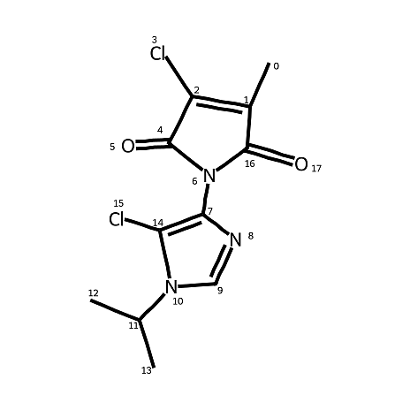 CC1=C(Cl)C(=O)N(c2ncn(C(C)C)c2Cl)C1=O